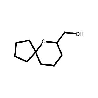 OCC1CCCC2(CCCC2)O1